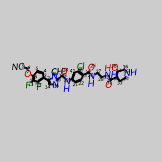 Cn1c(-c2ccc(OCC#N)c(F)c2F)cnc1C(=O)Nc1ccc(C(=O)NCCNC(=O)C2CCNCC2O)c(Cl)c1